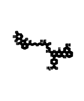 CN(CCOCCNc1cccc2c1C(=O)N(C1CCC(=O)NC1=O)C2=O)C(=O)CCNc1nc(N2CCN(C(N)=O)CC2)c2cc(Cl)c(-c3cc(O)cc4ccccc34)c(F)c2n1